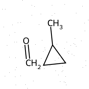 C=O.CC1CC1